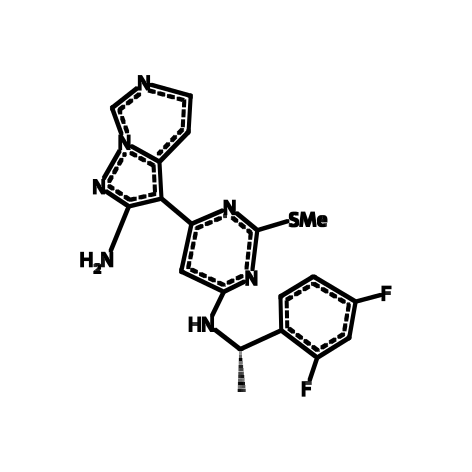 CSc1nc(N[C@@H](C)c2ccc(F)cc2F)cc(-c2c(N)nn3cnccc23)n1